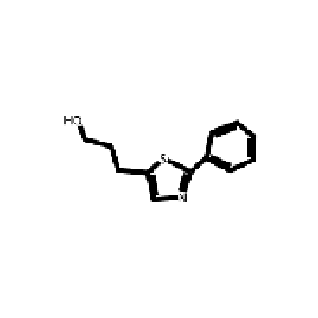 OCCCc1cnc(-c2ccccc2)s1